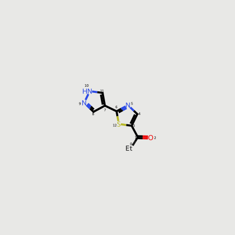 CCC(=O)c1cnc(-c2cn[nH]c2)s1